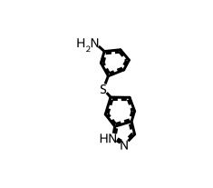 Nc1cccc(Sc2ccc3cn[nH]c3c2)c1